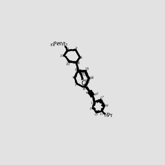 CCCCCC1CCC(C23CCC(C#Cc4ccc(CCC)cc4)(CC2)CC3)CC1